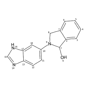 OC1c2ccccc2CN1c1ccc2nc[nH]c2c1